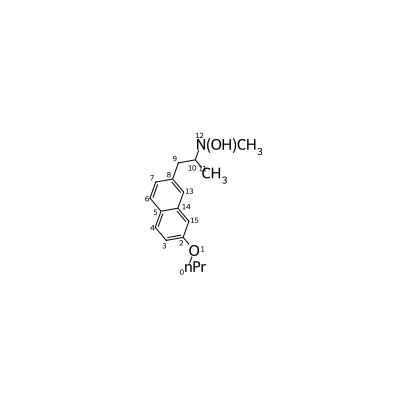 CCCOc1ccc2ccc(CC(C)N(C)O)cc2c1